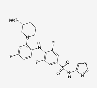 CN[C@@H]1CCCN(c2cc(F)ccc2Nc2c(F)cc(S(=O)(=O)Nc3cscn3)cc2F)C1